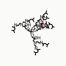 C/C(CC(C)C)=N/CCN(CC/N=C(\C)CC(C)C)CC(O)COCC(COCC(O)CN(CC/N=C(/C)CC(C)C)CC/N=C(\C)CC(C)C)(COCC(O)CN(CC/N=C(\C)CC(C)C)CC/N=C(\C)CC(C)C)COCC(O)CN(CC/N=C(\C)CC(C)C)CC/N=C(\C)CC(C)C